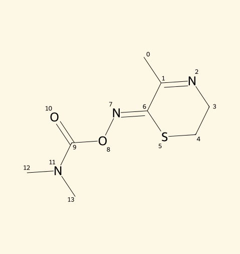 CC1=NCCSC1=NOC(=O)N(C)C